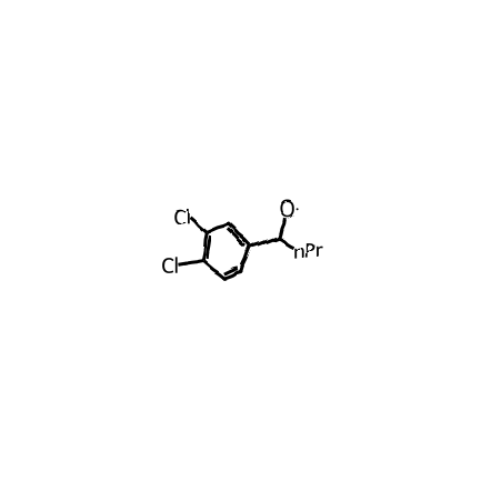 CCCC([O])c1ccc(Cl)c(Cl)c1